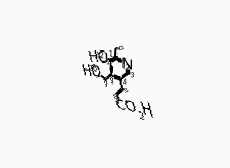 Cc1ncc(/C=C/C(=O)O)c(CO)c1O